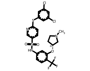 CN1CC[C@@H](Oc2cc(NS(=O)(=O)c3ccc(Sc4cc(Cl)cc(Cl)c4)nc3)ccc2C(F)(F)F)C1